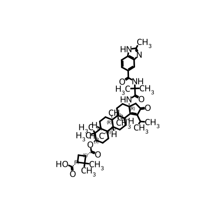 Cc1nc2cc(C(=O)NC(C)(C)C(=O)N[C@@]34CC[C@]5(C)[C@H](CC[C@@H]6[C@@]7(C)CC[C@H](OC(=O)[C@H]8C[C@@H](C(=O)O)C8(C)C)C(C)(C)[C@@H]7CC[C@]65C)C3=C(C(C)C)C(=O)C4)ccc2[nH]1